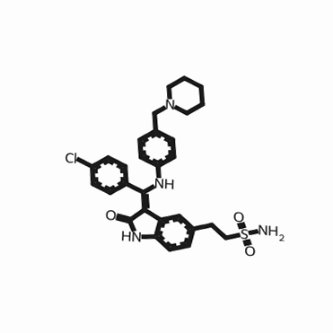 NS(=O)(=O)CCc1ccc2c(c1)C(=C(Nc1ccc(CN3CCCCC3)cc1)c1ccc(Cl)cc1)C(=O)N2